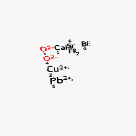 [Bi].[CaH2].[Cu+2].[O-2].[O-2].[Pb+2].[SrH2]